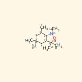 [2H]C1(C)CC(C)C2C(C1)C(C)(C)ON2C